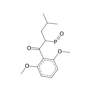 COc1cccc(OC)c1C(=O)C(CC(C)C)P=O